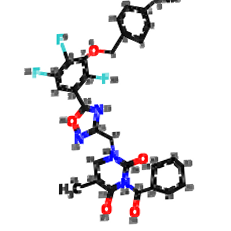 COc1ccc(COc2c(F)c(F)cc(-c3nc(Cn4cc(C)c(=O)n(C(=O)c5ccccc5)c4=O)no3)c2F)cc1